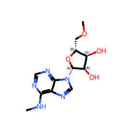 CNc1ncnc2c1ncn2[C@@H]1O[C@H](COC)[C@@H](O)[C@H]1O